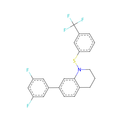 Fc1cc(F)cc(-c2ccc3c(c2)N(Sc2cccc(C(F)(F)F)c2)CCC3)c1